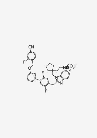 N#Cc1ccc(COc2cccc(-c3cc(F)c(Cc4nc5ccc(C(=O)O)cc5n4CC4(CCN)CCCC4)cc3F)n2)c(F)c1